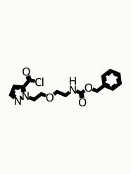 O=C(NCCOCCn1nccc1C(=O)Cl)OCc1ccccc1